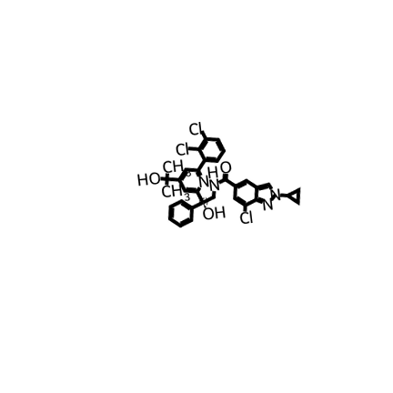 CC(C)(O)c1cc(-c2cccc(Cl)c2Cl)nc([C@@](O)(CNC(=O)c2cc(Cl)c3nn(C4CC4)cc3c2)c2ccccc2)c1